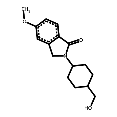 COc1ccc2c(c1)CN(C1CCC(CO)CC1)C2=O